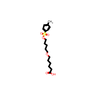 Cc1ccc(S(=O)(=O)OCCCCCOCCCCCC(=O)O)cc1